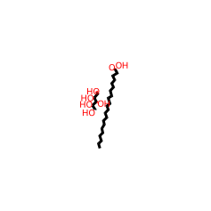 CCCCCCCCCCCCCCCCCCCCCC(=O)O.OCC(O)C(O)C(O)CO